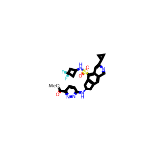 COC(=O)c1ccc(N[C@@H]2Cc3cc4cnc(C5CC5)cc4c(S(=O)(=O)NC4CC(F)(F)C4)c3C2)nn1